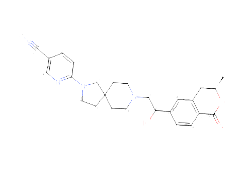 C[C@@H]1Cc2cc(C(O)CN3CCC4(CC3)CCN(c3ccc(C#N)cn3)C4)ccc2C(=O)O1